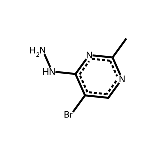 Cc1ncc(Br)c(NN)n1